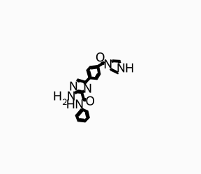 Nc1ncc(-c2ccc(C(=O)N3CCNCC3)cc2)nc1C(=O)Nc1ccccc1